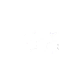 CNc1ccnc2cc(C)c(S(=O)(=O)C(C)(C)C)cc12